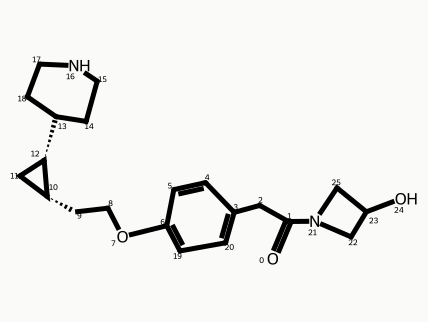 O=C(Cc1ccc(OCC[C@@H]2C[C@@H]2C2CCNCC2)cc1)N1CC(O)C1